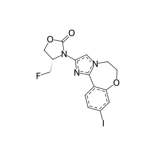 O=C1OC[C@@H](CF)N1c1cn2c(n1)-c1ccc(I)cc1OCC2